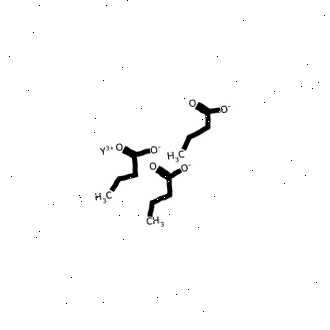 CCCC(=O)[O-].CCCC(=O)[O-].CCCC(=O)[O-].[Y+3]